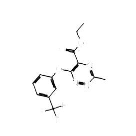 CCOC(=O)c1nc(C)nnc1Oc1cccc(C(F)(F)F)c1